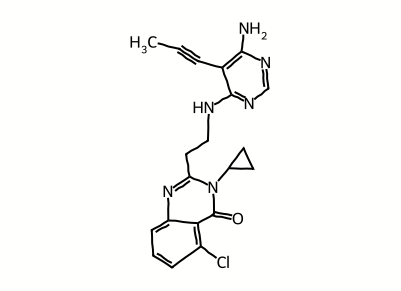 CC#Cc1c(N)ncnc1NCCc1nc2cccc(Cl)c2c(=O)n1C1CC1